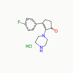 Cl.O=C1CCC(c2ccc(F)cc2)=C1N1CCNCC1